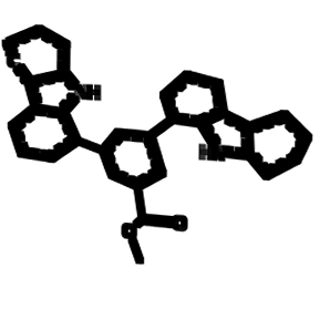 COC(=O)c1cc(-c2cccc3c2[nH]c2ccccc23)cc(-c2cccc3c2[nH]c2ccccc23)c1